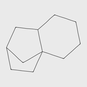 C1CCC23CCC(CC2C1)C3